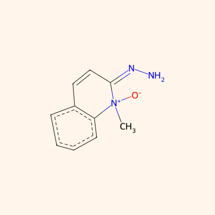 C[N+]1([O-])C(=NN)C=Cc2ccccc21